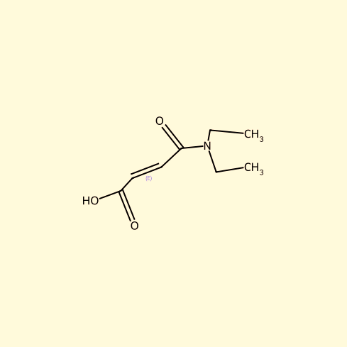 CCN(CC)C(=O)/C=C/C(=O)O